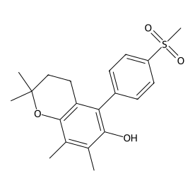 Cc1c(C)c2c(c(-c3ccc(S(C)(=O)=O)cc3)c1O)CCC(C)(C)O2